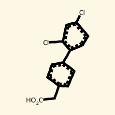 O=C(O)Cc1ccc(-c2ccc(Cl)cc2Cl)cc1